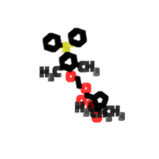 Cc1cc([S+](c2ccccc2)c2ccccc2)cc(C)c1OCCOC(=O)C12CCC(C)(C(=O)O1)C2(C)C